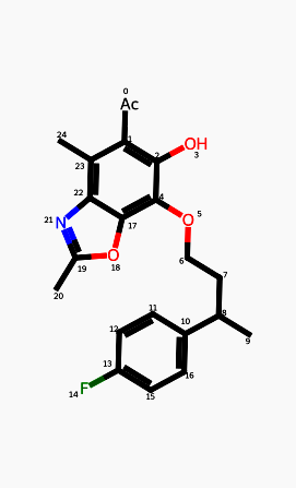 CC(=O)c1c(O)c(OCCC(C)c2ccc(F)cc2)c2oc(C)nc2c1C